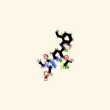 CCc1cccc(I)c1/C=C(\F)c1ccc(-n2nc(COC)n(CC)c2=O)nc1O[C@@H](C)C(F)(F)F